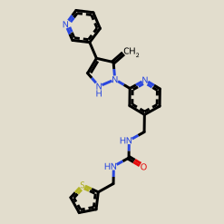 C=C1C(c2cccnc2)=CNN1c1cc(CNC(=O)NCc2cccs2)ccn1